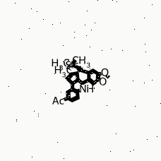 CC(=O)c1ccc2c(c1)C1C=CCC1C(c1cc3c(cc1C#C[Si](C)(C)C)OCO3)N2